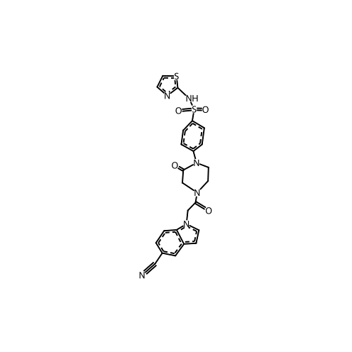 N#Cc1ccc2c(ccn2CC(=O)N2CCN(c3ccc(S(=O)(=O)Nc4nccs4)cc3)C(=O)C2)c1